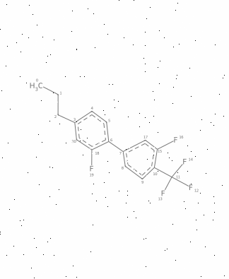 CCCc1ccc(-c2ccc(C(F)(F)F)c(F)c2)c(F)c1